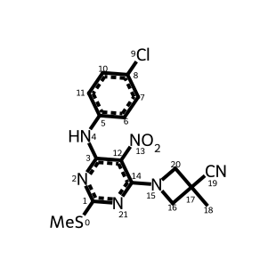 CSc1nc(Nc2ccc(Cl)cc2)c([N+](=O)[O-])c(N2CC(C)(C#N)C2)n1